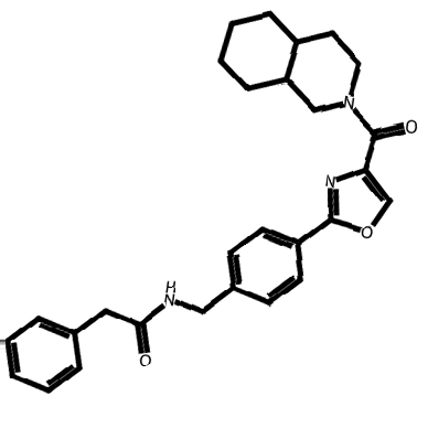 O=C(Cc1ccccc1)NCc1ccc(-c2nc(C(=O)N3CCC4CCCCC4C3)co2)cc1